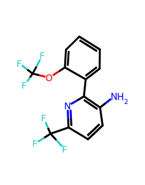 Nc1ccc(C(F)(F)F)nc1-c1ccccc1OC(F)(F)F